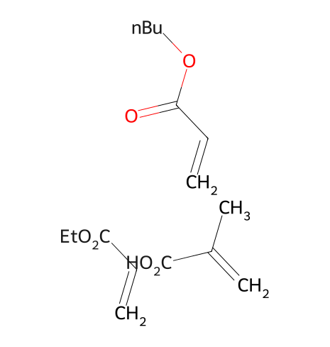 C=C(C)C(=O)O.C=CC(=O)OCC.C=CC(=O)OCCCC